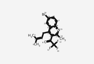 CC(C)=CCc1c(C(=O)C(F)(F)F)c(C)nc2ccc(Br)cc12